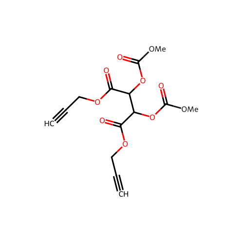 C#CCOC(=O)C(OC(=O)OC)C(OC(=O)OC)C(=O)OCC#C